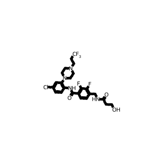 O=C(CCO)NCc1ccc(C(=O)Nc2ccc(Cl)cc2N2CCN(CCC(F)(F)F)CC2)c(F)c1F